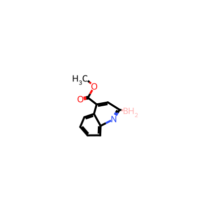 Bc1cc(C(=O)OC)c2ccccc2n1